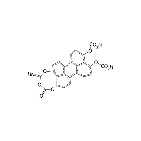 N=C1OC(=O)Oc2ccc3c4ccc(OC(=O)O)c5c(OC(=O)O)ccc(c6ccc(c2c63)O1)c54